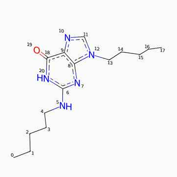 CCCCCNc1nc2c(ncn2CCCCC)c(=O)[nH]1